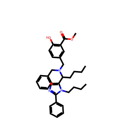 CCCCC(c1cnc(-c2ccccc2)n1CCCC)N(Cc1ccccc1)Cc1ccc(O)c(C(=O)OC)c1